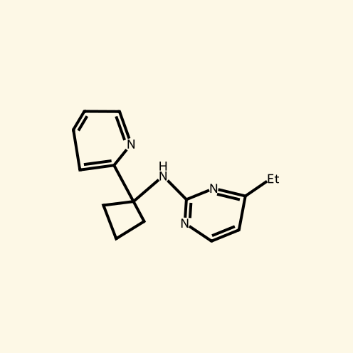 CCc1ccnc(NC2(c3ccccn3)CCC2)n1